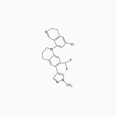 Cn1cc(-c2cc3c(cc2C(F)F)N(c2cc(Cl)cc4c2C=NCC4)CCC3)cn1